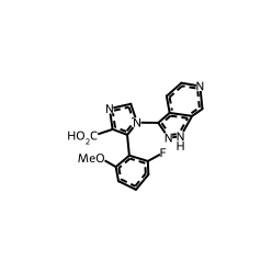 COc1cccc(F)c1-c1c(C(=O)O)ncn1-c1n[nH]c2cnccc12